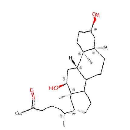 C[C@H](CCC(=O)C(C)(C)C)[C@H]1CCC2C3CC[C@@H]4C[C@H](O)CC[C@]4(C)[C@H]3C[C@H](O)[C@@]21C